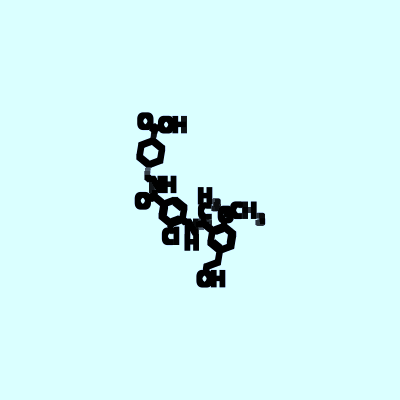 COc1ccc(CCO)cc1[C@H](C)Nc1ccc(C(=O)NC[C@H]2CC[C@H](C(=O)O)CC2)cc1Cl